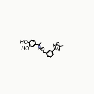 C/C(=N\OCc1cccc(-c2noc(C)n2)c1)c1ccc(O)c(O)c1